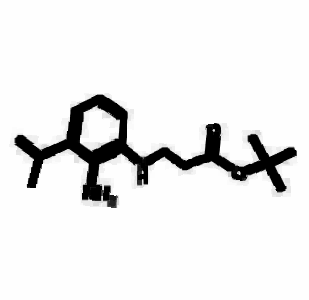 CC(C)c1cccc(NCCC(=O)OC(C)(C)C)c1N